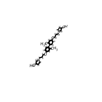 Cc1cc(OCCCN2CCC(O)C2)ccc1-c1ccc(OCCCN2CCC(O)C2)cc1C